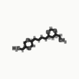 CCC1COC(CCCCC2CC(CC)OCO2)CO1